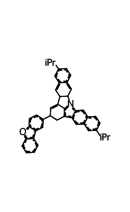 CC(C)c1ccc2c(c1)=CC1C3=CC(c4ccc5oc6ccccc6c5c4)Cc4c3n(c3cc5ccc(C(C)C)cc5cc43)C1C=2